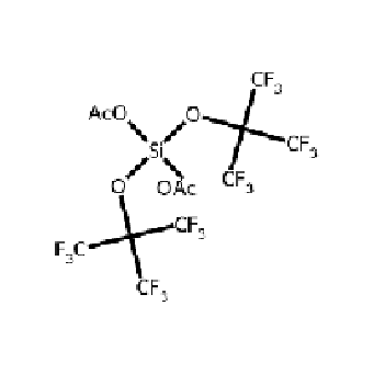 CC(=O)O[Si](OC(C)=O)(OC(C(F)(F)F)(C(F)(F)F)C(F)(F)F)OC(C(F)(F)F)(C(F)(F)F)C(F)(F)F